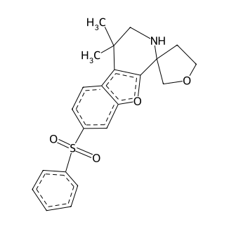 CC1(C)CNC2(CCOC2)c2oc3cc(S(=O)(=O)c4ccccc4)ccc3c21